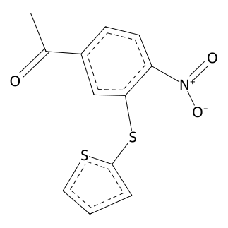 CC(=O)c1ccc([N+](=O)[O-])c(Sc2cccs2)c1